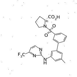 Cc1cc(Nc2nccc(C(F)(F)F)n2)cc(-c2cccc(S(=O)(=O)N3CCC[C@@H]3C(=O)O)c2)c1